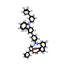 c1ccc(-c2ccc(N(c3ccc(-c4ccc5c(c4)c4ccccc4n5-c4cccc(-c5ccccc5)c4)cc3)c3cccc4ccc5ccccc5c34)cc2)cc1